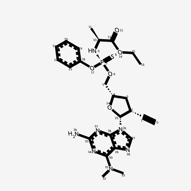 C#C[C@H]1C[C@@H](CO[P@@](=S)(N[C@@H](C)C(=O)OCC)Oc2ccccc2)O[C@H]1n1cnc2c(N(C)C)nc(N)nc21